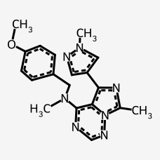 COc1ccc(CN(C)c2ncnn3c(C)nc(-c4cnn(C)c4)c23)cc1